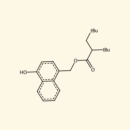 CC(C)(C)CC(C(=O)OCc1ccc(O)c2ccccc12)C(C)(C)C